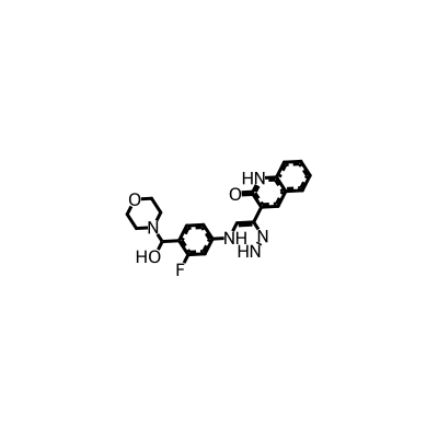 N=N/C(=C\Nc1ccc(C(O)N2CCOCC2)c(F)c1)c1cc2ccccc2[nH]c1=O